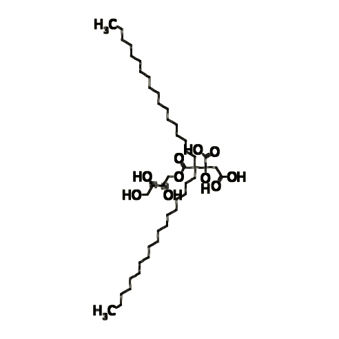 CCCCCCCCCCCCCCCCCCC(CCCCCCCCCCCCCCCCCC)(C(=O)OC[C@H](O)[C@H](O)CO)C(O)(CC(=O)O)C(=O)O